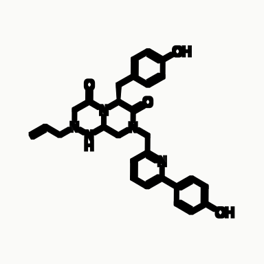 C=CCN1CC(=O)N2C(CN(Cc3cccc(-c4ccc(O)cc4)n3)C(=O)[C@@H]2Cc2ccc(O)cc2)N1